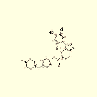 CN1CCN(Cc2ccc(CC(=O)N3CCc4noc(-c5cc(Cl)c(O)cc5O)c4C3)cc2)CC1